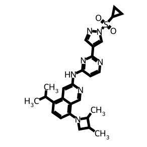 CC(C)c1ccc(N2CC(C)C2C)c2cnc(Nc3ccnc(-c4cnn(S(=O)(=O)C5CC5)c4)n3)cc12